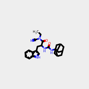 CCN(C#N)C(=O)C(Cc1c[nH]c2ccccc12)NC(=O)NC12CC3CC(CC(C3)C1)C2